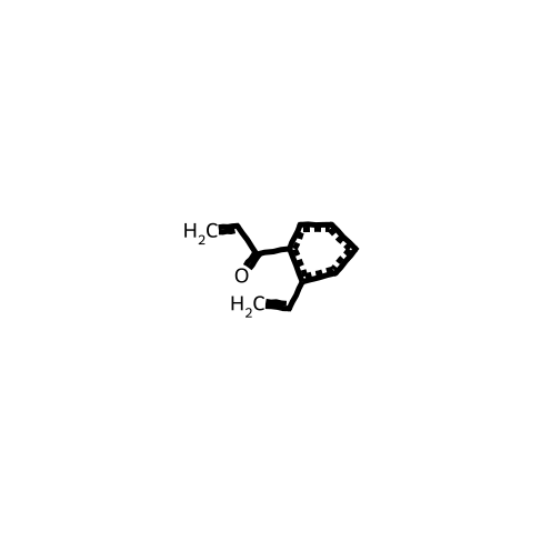 C=CC(=O)c1ccccc1C=C